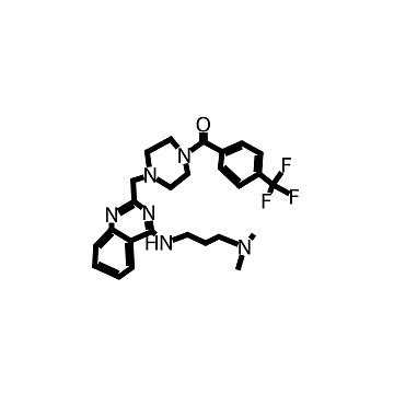 CN(C)CCCNc1nc(CN2CCN(C(=O)c3ccc(C(F)(F)F)cc3)CC2)nc2ccccc12